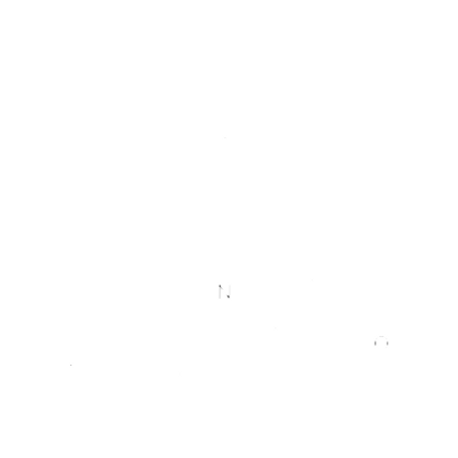 C#Cc1ccc2c(C=O)cn(-c3ccccc3)c2c1